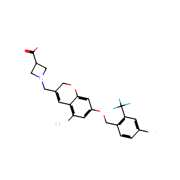 Cc1ccc(COc2cc(C)c3c(c2)OCC(CN2CC(C(=O)O)C2)=C3)c(C(F)(F)F)c1